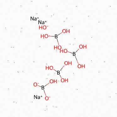 OB(O)O.OB(O)O.OB(O)O.[Na+].[Na+].[Na+].[O-]B([O-])O.[OH-]